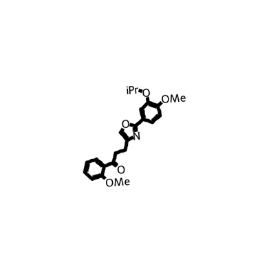 COc1ccc(-c2nc(CCC(=O)c3ccccc3OC)co2)cc1OC(C)C